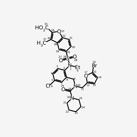 CCN(c1ccc(Cl)cc1CN(Cc1ccc(Br)o1)C(=O)N1CCCCC1)S(=O)(=O)c1ccc2oc(C(=O)O)c(C)c2c1